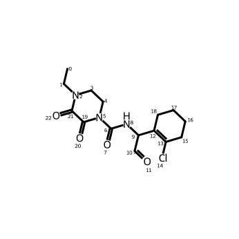 CCN1CCN(C(=O)NC([C]=O)C2=C(Cl)CCCC2)C(=O)C1=O